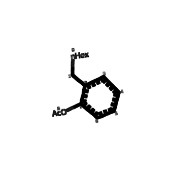 CCCCCC[CH]c1ccccc1OC(C)=O